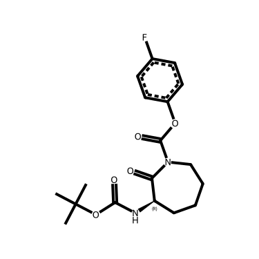 CC(C)(C)OC(=O)N[C@@H]1CCCCN(C(=O)Oc2ccc(F)cc2)C1=O